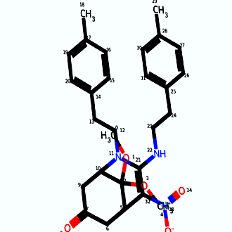 COC1(OC)C2CC(=O)CC1N(CCc1ccc(C)cc1)C(NCCc1ccc(C)cc1)=C2[N+](=O)[O-]